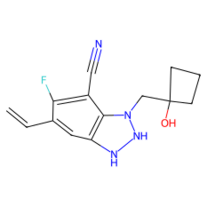 C=Cc1cc2c(c(C#N)c1F)N(CC1(O)CCC1)NN2